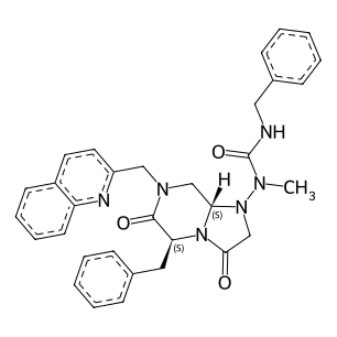 CN(C(=O)NCc1ccccc1)N1CC(=O)N2[C@@H](Cc3ccccc3)C(=O)N(Cc3ccc4ccccc4n3)C[C@@H]21